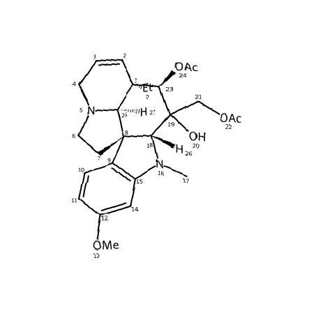 CC[C@]12C=CCN3CC[C@@]4(c5ccc(OC)cc5N(C)[C@H]4C(O)(COC(C)=O)[C@@H]1OC(C)=O)[C@@H]32